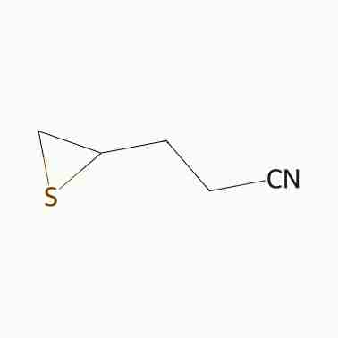 N#CCCC1CS1